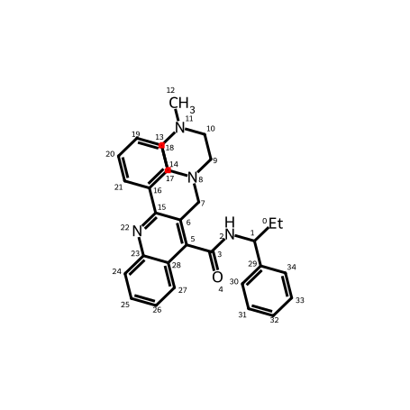 CCC(NC(=O)c1c(CN2CCN(C)CC2)c(-c2ccccc2)nc2ccccc12)c1ccccc1